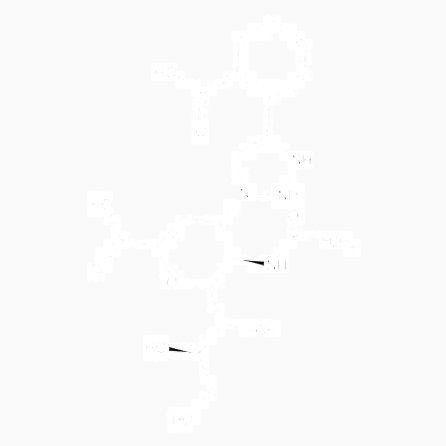 CC(=O)N[C@H]1[C@H]([C@H](O)[C@H](O)CO)OC(C(=O)O)=C[C@@H]1N1C=C(c2ccccc2C(=O)O)NN1